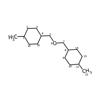 CC1CCC(COCC2CCC(C)CC2)CC1